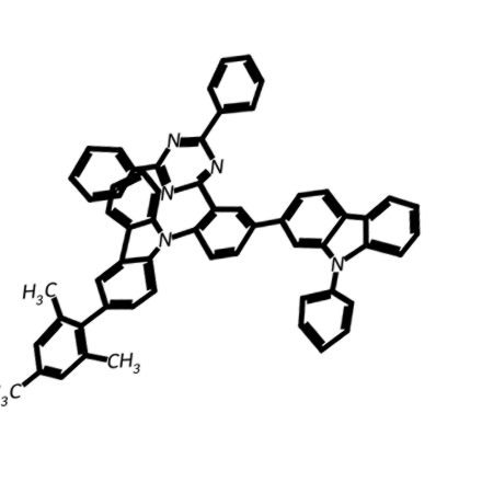 Cc1cc(C)c(-c2ccc3c(c2)c2ccccc2n3-c2ccc(-c3ccc4c5ccccc5n(-c5ccccc5)c4c3)cc2-c2nc(-c3ccccc3)nc(-c3ccccc3)n2)c(C)c1